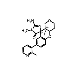 CN1C(=O)[C@@]2(N=C1N)c1cc(-c3cccnc3F)ccc1OC1CCOC[C@H]12